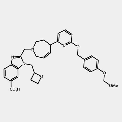 COCOc1ccc(COc2cccc(C3C=CCN(Cc4nc5ccc(C(=O)O)cc5n4CC4CCO4)CC3)n2)cc1